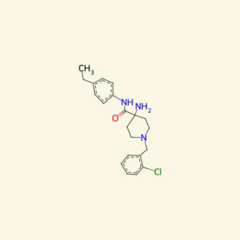 CCc1ccc(NC(=O)C2(N)CCN(Cc3ccccc3Cl)CC2)cc1